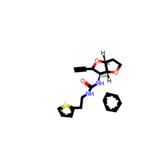 C#CC1O[C@@H]2CCO[C@@H]2[C@H]1NC(=O)NCCc1cccs1.c1ccccc1